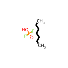 CCCCCCC.O=P(O)(F)F